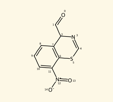 O=CC1N=CSc2c1cccc2[N+](=O)[O-]